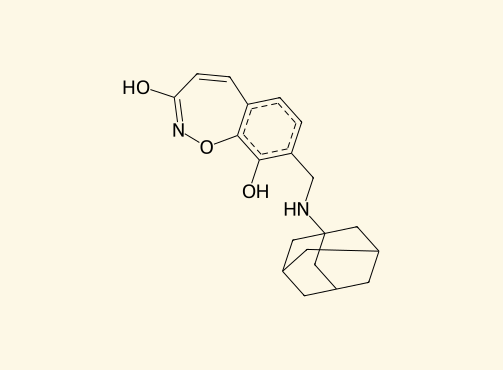 OC1=NOc2c(ccc(CNC34CC5CC(CC(C5)C3)C4)c2O)C=C1